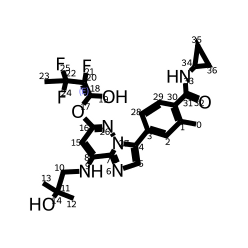 Cc1cc(-c2cnc3c(NCC(C)(C)O)cc(O/C(O)=C(/F)C(C)(F)F)nn23)ccc1C(=O)NC1CC1